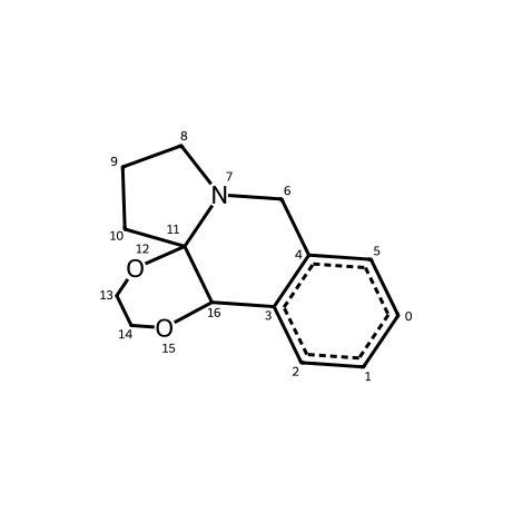 c1ccc2c(c1)CN1CCCC13OCCOC23